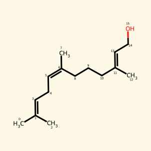 CC(C)=CCC=C(C)CCCC(C)=CCO